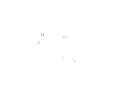 CC(=O)C(OC(=O)c1c(N)sc2c(CN(C)C)c(O)ccc12)c1ccccc1C#N